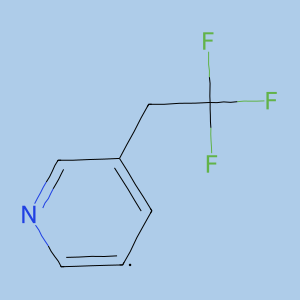 FC(F)(F)Cc1c[c]cnc1